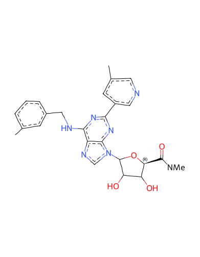 CNC(=O)[C@@H]1OC(n2cnc3c(NCc4cccc(C)c4)nc(-c4cncc(C)c4)nc32)C(O)C1O